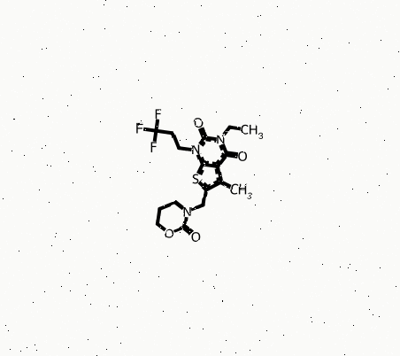 CCn1c(=O)c2c(C)c(CN3CCCOC3=O)sc2n(CCC(F)(F)F)c1=O